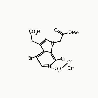 COC(=O)Cn1cc(CC(=O)O)c2c(Br)cnc(Cl)c21.O=C([O-])O.[Cs+]